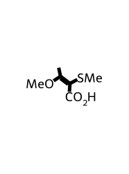 CO/C(C)=C(/SC)C(=O)O